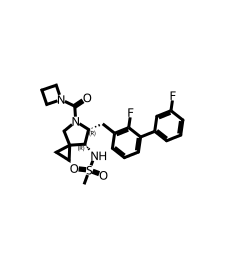 CS(=O)(=O)N[C@H]1[C@@H](Cc2cccc(-c3cccc(F)c3)c2F)N(C(=O)N2CCC2)CC12CC2